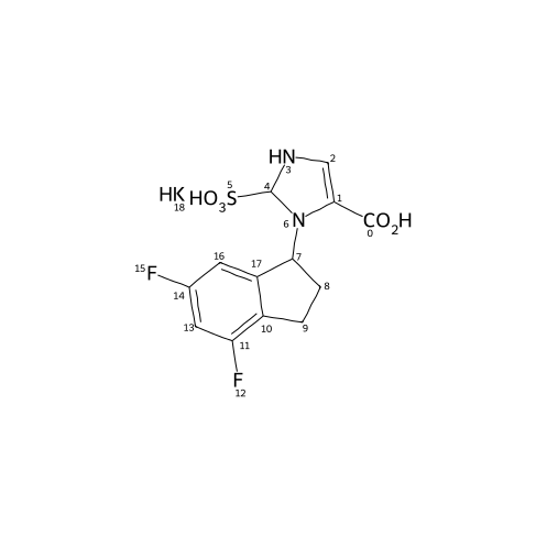 O=C(O)C1=CNC(S(=O)(=O)O)N1C1CCc2c(F)cc(F)cc21.[KH]